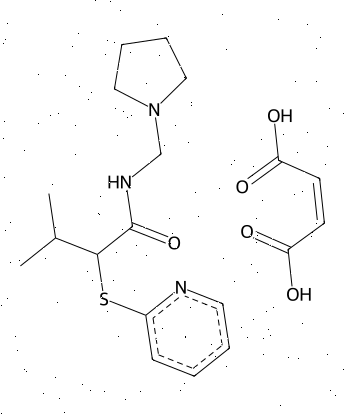 CC(C)C(Sc1ccccn1)C(=O)NCN1CCCC1.O=C(O)/C=C\C(=O)O